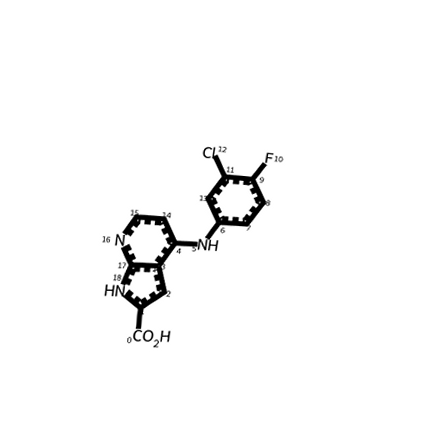 O=C(O)c1cc2c(Nc3ccc(F)c(Cl)c3)ccnc2[nH]1